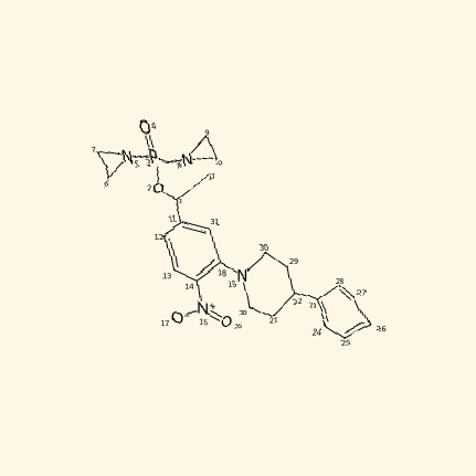 CC(OP(=O)(N1CC1)N1CC1)c1ccc([N+](=O)[O-])c(N2CCC(c3ccccc3)CC2)c1